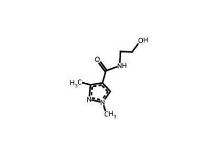 Cc1nn(C)cc1C(=O)NCCO